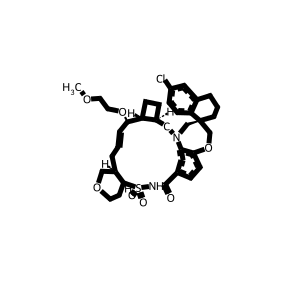 COCCO[C@H]1/C=C/C[C@@H]2COCC[C@H]2S(=O)(=O)NC(=O)c2ccc3c(c2)N(C[C@@H]2CC[C@H]21)C[C@@]1(CCCc2cc(Cl)ccc21)CO3